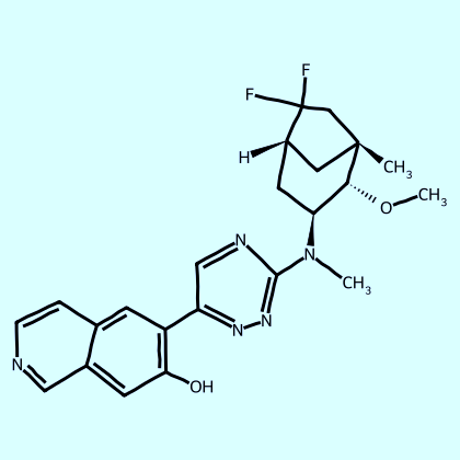 CO[C@@H]1[C@@H](N(C)c2ncc(-c3cc4ccncc4cc3O)nn2)C[C@H]2C[C@]1(C)CC2(F)F